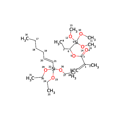 C=C(C)C(=O)OC(CC)[Si](OC)(OC)OC.CCCCC=C[Si](OCC)(OCC)OCC